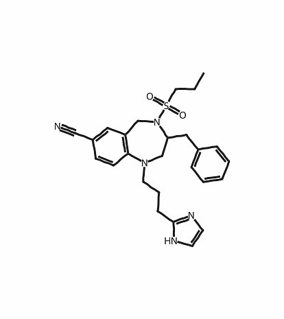 CCCS(=O)(=O)N1Cc2cc(C#N)ccc2N(CCCc2ncc[nH]2)CC1Cc1ccccc1